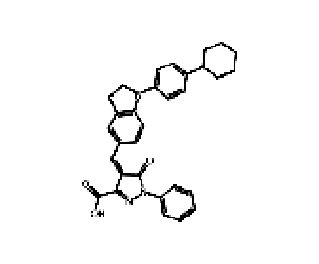 O=C(O)C1=NN(c2ccccc2)C(=O)/C1=C\c1ccc2c(c1)CCN2c1ccc(C2CCCCC2)cc1